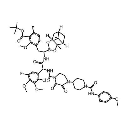 COc1ccc(NC(=O)N2CCC(N3CCN(C(=O)NC(C(=O)NC(Cc4ccc(F)c(C(=O)OC(C)(C)C)c4OC)B4O[C@@H]5C[C@@H]6C[C@@H](C6(C)C)[C@]5(C)O4)c4cc(F)c(OC)c(OC)c4Cl)C(=O)C3=O)CC2)cc1